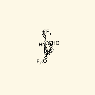 O=C(CCC1CC(OC(F)(F)F)C1)NC12CC(c3nnc(C4CC(OC(F)(F)F)C4)o3)(C1)C2.O=CC1CC(OC(F)(F)F)C1